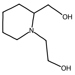 OCCN1CCCCC1CO